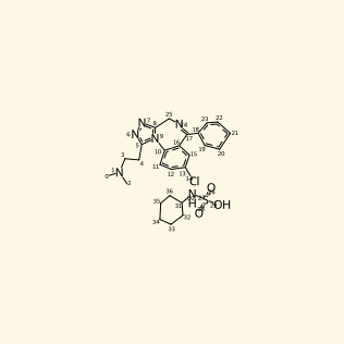 CN(C)CCc1nnc2n1-c1ccc(Cl)cc1C(c1ccccc1)=NC2.O=S(=O)(O)NC1CCCCC1